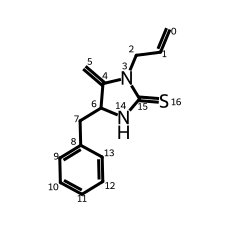 C=CCN1C(=C)C(Cc2ccccc2)NC1=S